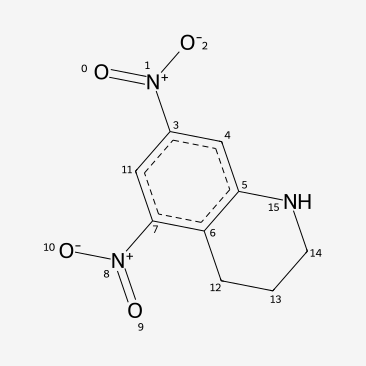 O=[N+]([O-])c1cc2c(c([N+](=O)[O-])c1)CCCN2